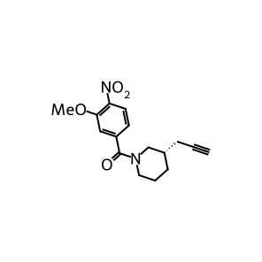 C#CC[C@@H]1CCCN(C(=O)c2ccc([N+](=O)[O-])c(OC)c2)C1